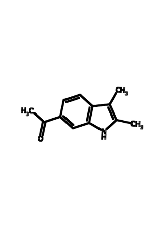 CC(=O)c1ccc2c(C)c(C)[nH]c2c1